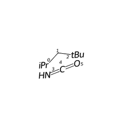 CC(C)CC(C)(C)C.N=C=O